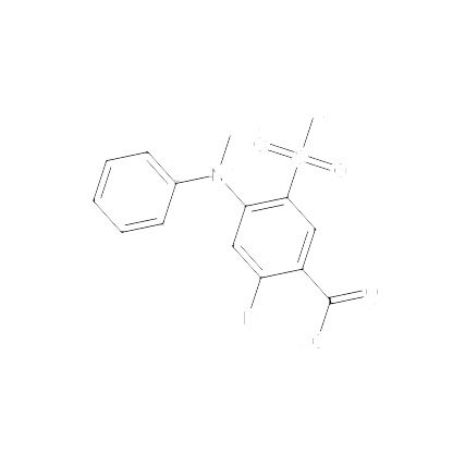 CCc1cc(N(C)c2ccccc2)c(S(C)(=O)=O)cc1C(=O)Cl